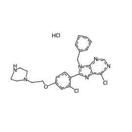 Cl.Clc1cc(OCCN2CCNCC2)ccc1-c1nc2c(Cl)ncnc2n1Cc1ccccc1